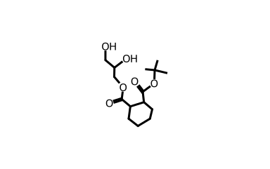 CC(C)(C)OC(=O)C1CCCCC1C(=O)OCC(O)CO